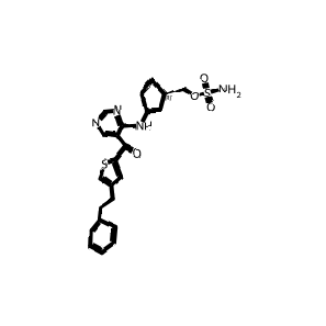 NS(=O)(=O)OC[C@@H]1CCC(Nc2ncncc2C(=O)c2cc(CCc3ccccc3)cs2)C1